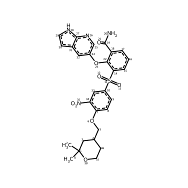 CC1(C)CC(COc2ccc(S(=O)(=O)c3cccc(C(N)=O)c3Oc3cnc4[nH]ccc4c3)cc2[N+](=O)[O-])CCO1